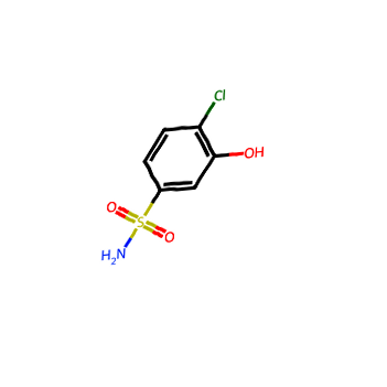 NS(=O)(=O)c1ccc(Cl)c(O)c1